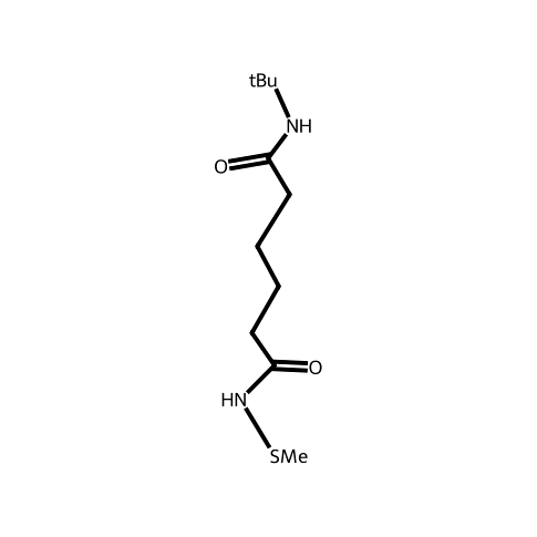 CSNC(=O)CCCCC(=O)NC(C)(C)C